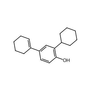 Oc1ccc(C2=CCCCC2)cc1C1CCCCC1